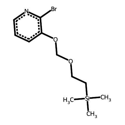 C[Si](C)(C)CCOCOc1cccnc1Br